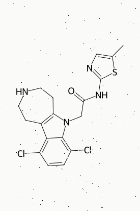 Cc1cnc(NC(=O)Cn2c3c(c4c(Cl)ccc(Cl)c42)CCNCC3)s1